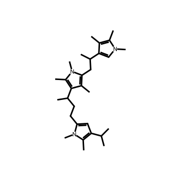 Cc1c(C(C)Cc2c(C)c(C(C)CCc3cc(C(C)C)c(C)n3C)c(C)n2C)cn(C)c1C